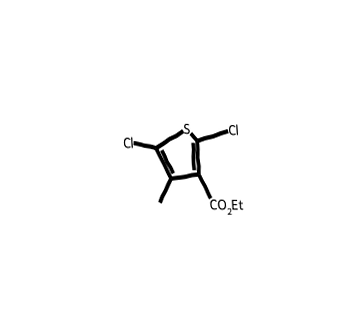 CCOC(=O)c1c(Cl)sc(Cl)c1C